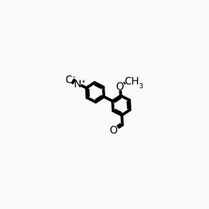 [C-]#[N+]c1ccc(-c2cc(C=O)ccc2OC)cc1